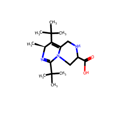 C[C@@H]1N=C(C(C)(C)C)N2CC(C(=O)O)NCC2=C1C(C)(C)C